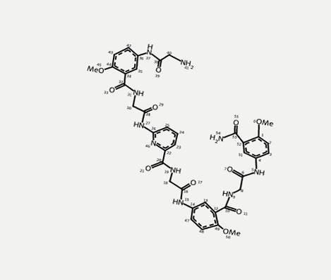 COc1ccc(NC(=O)CNC(=O)c2cc(NC(=O)CNC(=O)c3cccc(NC(=O)CNC(=O)c4cc(NC(=O)CN)ccc4OC)n3)ccc2OC)cc1C(N)=O